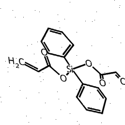 C=CC(=O)O[Si](OC(=O)C=C)(c1ccccc1)c1ccccc1